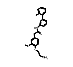 COc1cc(CC(=O)Nc2cccc(-c3ccccc3C)c2)ccc1OCCN